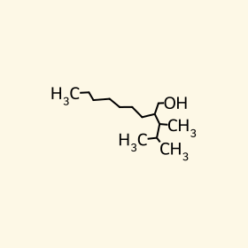 CCCCCCCC(CO)C(C)C(C)C